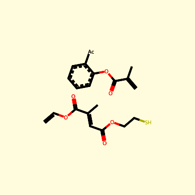 C=C(C)C(=O)Oc1ccccc1C(C)=O.C=COC(=O)C(C)=CC(=O)OCCS